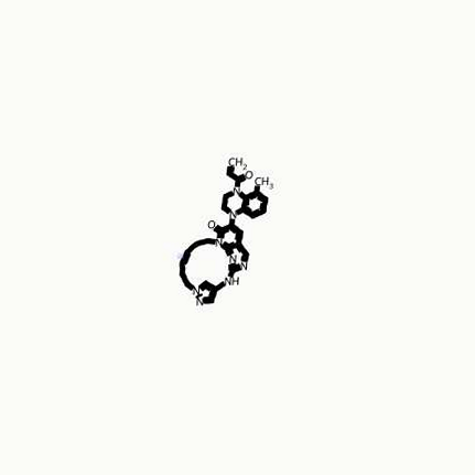 C=CC(=O)N1CCN(c2cc3cnc4nc3n(c2=O)CC/C=C\CCn2cc(cn2)N4)c2cccc(C)c21